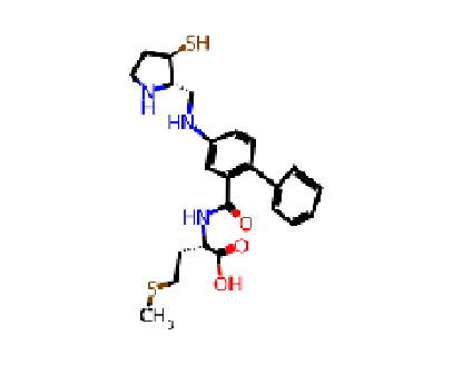 CSCC[C@H](NC(=O)c1cc(NC[C@@H]2NCC[C@H]2S)ccc1-c1ccccc1)C(=O)O